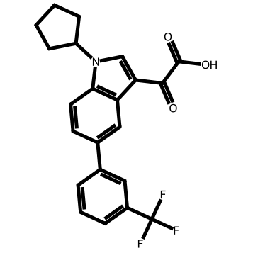 O=C(O)C(=O)c1cn(C2CCCC2)c2ccc(-c3cccc(C(F)(F)F)c3)cc12